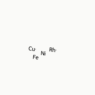 [Cu].[Fe].[Ni].[Rh]